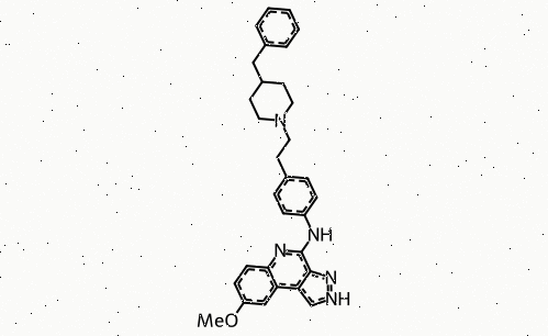 COc1ccc2nc(Nc3ccc(CCN4CCC(Cc5ccccc5)CC4)cc3)c3n[nH]cc3c2c1